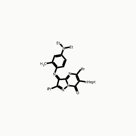 CCCCCCCc1c(C(C)C)nc2n(c1=O)N=C(C(C)C)C2=Nc1ccc(N(CC)CC)cc1C